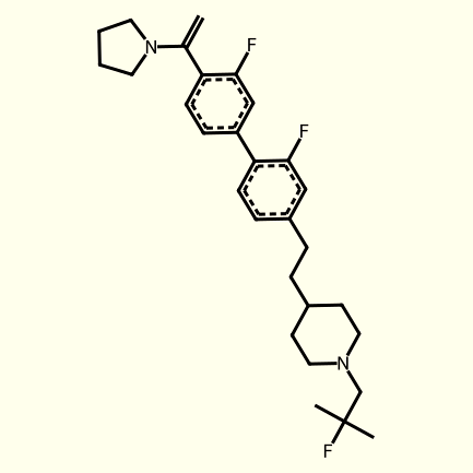 C=C(c1ccc(-c2ccc(CCC3CCN(CC(C)(C)F)CC3)cc2F)cc1F)N1CCCC1